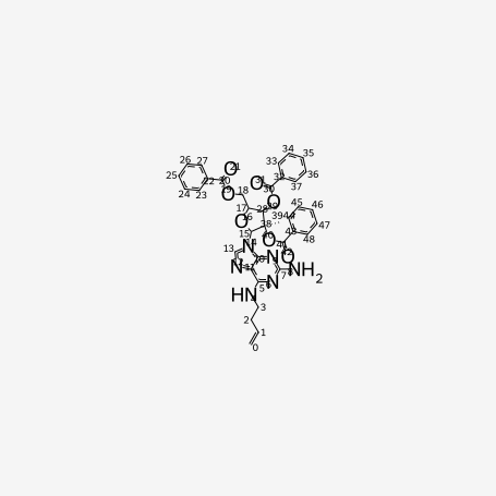 C=CCCNc1nc(N)nc2c1ncn2C1OC(COC(=O)c2ccccc2)[C@@H](OC(=O)c2ccccc2)[C@@]1(C)OC(=O)c1ccccc1